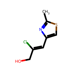 Cc1nc(C=C(Cl)CO)cs1